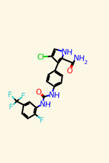 NC(=O)c1[nH]cc(Cl)c1-c1ccc(NC(=O)Nc2cc(C(F)(F)F)ccc2F)cc1